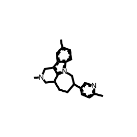 Cc1ccc2c(c1)c1c3n2CC(c2ccc(C)nc2)CCC3CN(C)C1